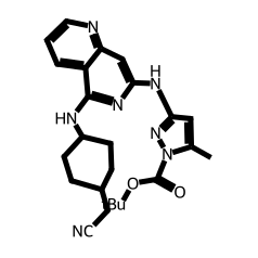 Cc1cc(Nc2cc3ncccc3c(NC3CCC(CC#N)CC3)n2)nn1C(=O)OC(C)(C)C